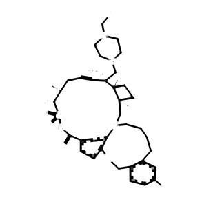 CO[C@@]1(CN2CCN(CC(C)=O)CC2)/C=C/C[C@H](C)[C@@H](C)S(=O)(=O)NC(=O)c2ccc3c(c2)N(CCCCc2cc(Cl)ccc2CO3)C[C@@H]2CC[C@H]21